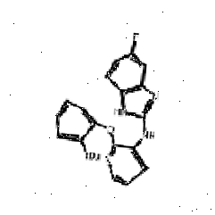 CC(C)(C)c1ccccc1Oc1ncccc1Nc1nc2cc(F)ccc2[nH]1